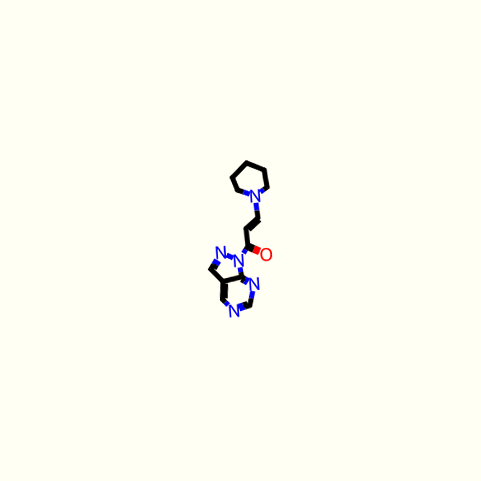 O=C(C=CN1CCCCC1)n1ncc2cncnc21